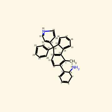 Cc1c(C2=CC=CCC2N)ccc2c1-c1ccccc1C2(c1ccccc1)c1ccncc1